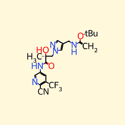 C=C(NCc1cnn(C[C@](C)(O)C(=O)Nc2cnc(C#N)c(C(F)(F)F)c2)c1)OC(C)(C)C